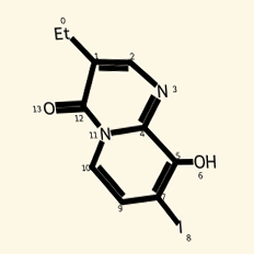 CCc1cnc2c(O)c(I)ccn2c1=O